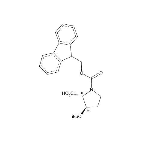 CC(C)CO[C@@H]1CCN(C(=O)OCC2c3ccccc3-c3ccccc32)[C@H]1C(=O)O